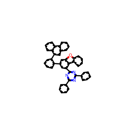 c1ccc(-c2nc(-c3ccccc3)nc(-c3cc(-c4ccccc4-c4cc5ccccc5c5ccccc45)cc4oc5ccccc5c34)n2)cc1